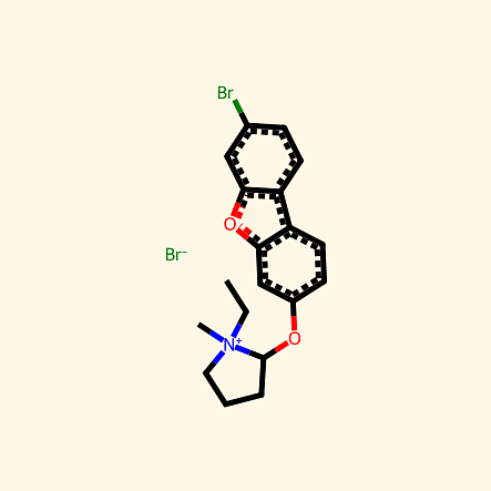 CC[N+]1(C)CCCC1Oc1ccc2c(c1)oc1cc(Br)ccc12.[Br-]